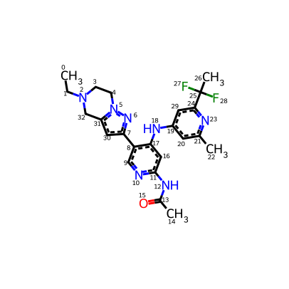 CCN1CCn2nc(-c3cnc(NC(C)=O)cc3Nc3cc(C)nc(C(C)(F)F)c3)cc2C1